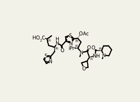 CC(=O)O[C@H](C[C@H](C(C)C)N(C)C(=O)[C@@H](NC(=O)[C@H]1CCCCN1C)C1COC1)c1nc(C(=O)N[C@@H](Cc2nccs2)C[C@H](C)C(=O)O)cs1